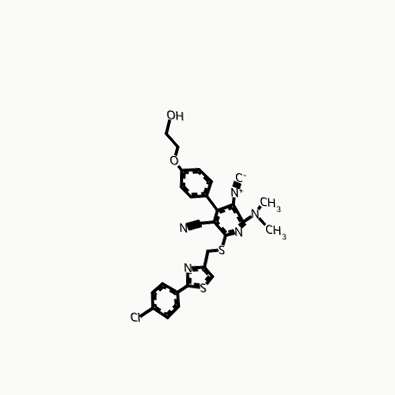 [C-]#[N+]c1c(N(C)C)nc(SCc2csc(-c3ccc(Cl)cc3)n2)c(C#N)c1-c1ccc(OCCO)cc1